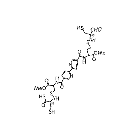 COC(=O)C(CSN[C@@H](CS)C(=O)S)NC(=O)c1ccc(-c2ccc(C(=O)NC(CSSN[C@H](C=O)CS)C(=O)OC)cn2)nc1